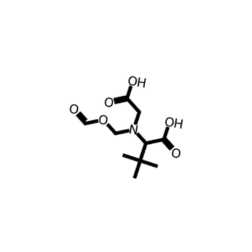 CC(C)(C)C(C(=O)O)N(COC=O)CC(=O)O